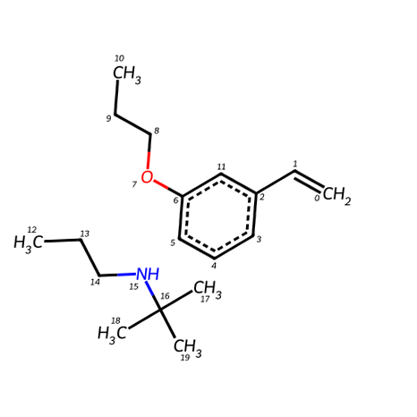 C=Cc1cccc(OCCC)c1.CCCNC(C)(C)C